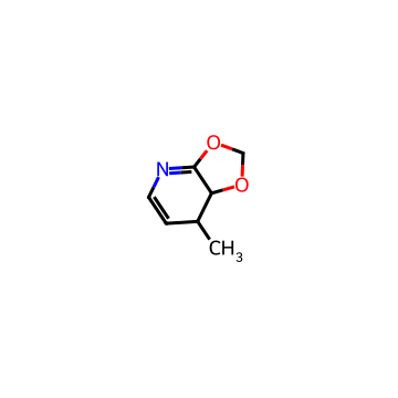 CC1C=CN=C2OCOC21